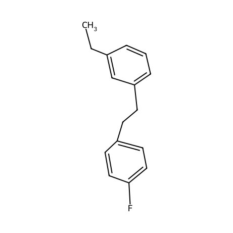 CCc1cccc(CCc2ccc(F)cc2)c1